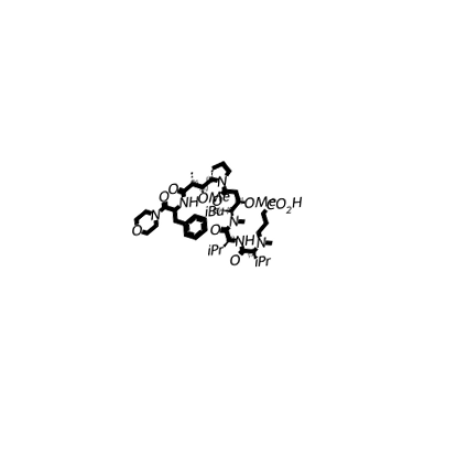 CC[C@H](C)[C@@H]([C@@H](CC(=O)N1CCC[C@H]1[C@H](OC)[C@@H](C)C(=O)NC(Cc1ccccc1)C(=O)N1CCOCC1)OC)N(C)C(=O)[C@@H](NC(=O)[C@H](C(C)C)N(C)CCCC(=O)O)C(C)C